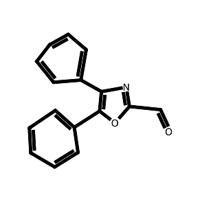 O=Cc1nc(-c2ccccc2)c(-c2ccccc2)o1